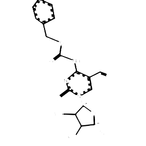 C=Cc1cn([C@@H]2O[C@H](C)C(O)C2O)c(=O)nc1NC(=O)OCc1ccccc1